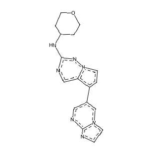 c1cn2cc(-c3ccn4nc(NC5CCOCC5)ncc34)cnc2n1